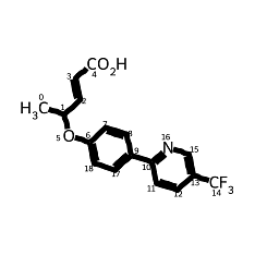 CC(/C=C/C(=O)O)Oc1ccc(-c2ccc(C(F)(F)F)cn2)cc1